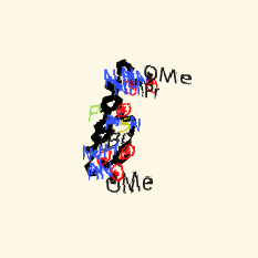 COC(=O)NC(C(=O)N1CCC[C@H]1c1ncc(-c2ccc3c(c2)cc2n3C(c3cnc(CC(C)(C)C)s3)Oc3cc(-c4cnc([C@@H]5CCCN5C(=O)[C@@H](NC(=O)OC)C(C)C)[nH]4)cc(F)c3-2)[nH]1)C1CCOC(C)(C)C1